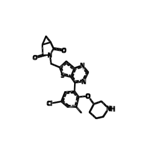 Cc1cc(Cl)cc(-c2ncnc3cc(CN4C(=O)C5CC5C4=O)sc23)c1OC1CCCNC1